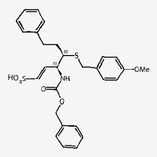 COc1ccc(CS[C@H](CCc2ccccc2)[C@H](C=CS(=O)(=O)O)NC(=O)OCc2ccccc2)cc1